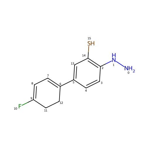 NNc1ccc(C2=CC=C(F)CC2)cc1S